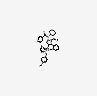 COc1ccc(Cn2ccnc2C2Nc3ccccc3C3C2CCN3C(=O)[C@H]2CCCC[C@H]2NC(=O)c2ccccc2)cc1